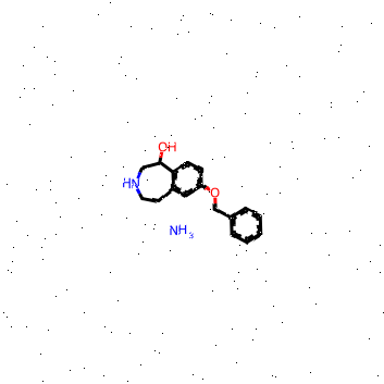 N.OC1CNCCc2cc(OCc3ccccc3)ccc21